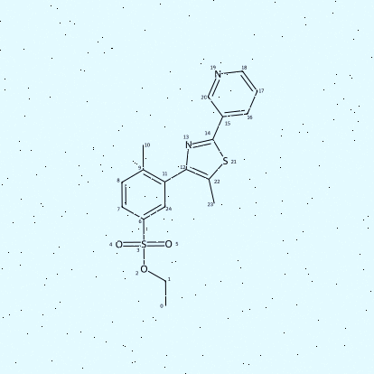 CCOS(=O)(=O)c1ccc(C)c(-c2nc(-c3cccnc3)sc2C)c1